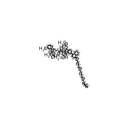 COC(=O)C[C@H](NC(=O)[C@H](CC(=O)O)NC(=O)CCCN(C(=O)OC(C)(C)C)c1cc(C)ccn1)c1ccc(-c2ccc(OCCOCCOCCOCCOCCN=[N+]=[N-])c3ccccc23)cc1